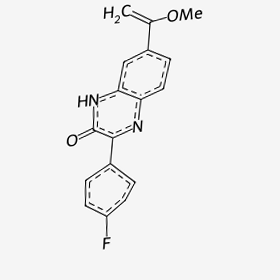 C=C(OC)c1ccc2nc(-c3ccc(F)cc3)c(=O)[nH]c2c1